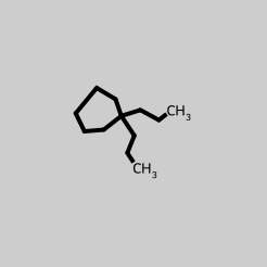 CCCC1(CCC)CCCCC1